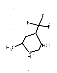 CC1CC(C(F)(F)F)CCN1.Cl